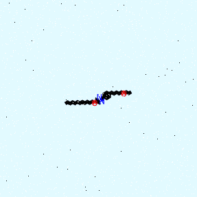 CCCCCCC/C=C/CCCOc1cnc(-c2ccc(CCCCCOCCC)cc2)nc1